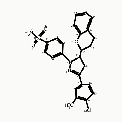 Cc1cc(C2=NN(c3ccc(S(N)(=O)=O)cc3)C(C3CCc4ccccc4O3)C2)ccc1Cl